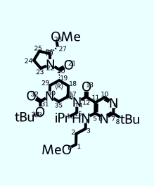 COCCCNc1nc(C(C)(C)C)ncc1C(=O)N(CC(C)C)[C@H]1C[C@@H](C(=O)N2CCC[C@@H]2COC)CN(C(=O)OC(C)(C)C)C1